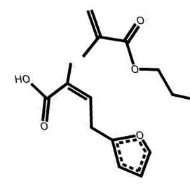 C=C(C)C(=O)OCCCC.CC(=CCc1ccco1)C(=O)O